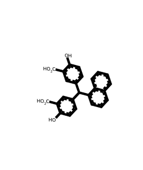 O=C(O)c1cc(C(c2ccc(O)c(C(=O)O)c2)c2cccc3ccccc23)ccc1O